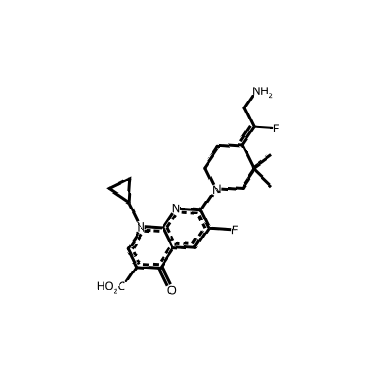 CC1(C)CN(c2nc3c(cc2F)c(=O)c(C(=O)O)cn3C2CC2)CCC1=C(F)CN